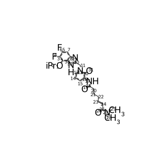 CC(C)Oc1c(F)c(F)cc2nc(Cn3cccc(NC(=O)CCC/C=C/C(=O)N(C)C)c3=O)[nH]c12